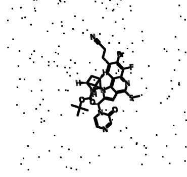 CSc1nc2c(F)c(Br)c(CCC#N)cc2c2c1cc([C@@H](C)n1ccncc1=O)n2[C@H]1[C@@H]2C[C@H]1N(C(=O)OC(C)(C)C)C2